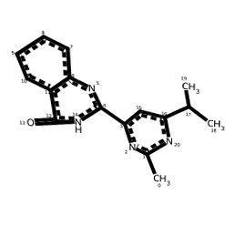 Cc1nc(-c2nc3ccccc3c(=O)[nH]2)cc(C(C)C)n1